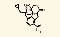 NC(=O)c1ccc2c3c1OC1C(=O)CC[C@@]4(O)[C@@H](C2)N(CC2CC2)CC[C@]314